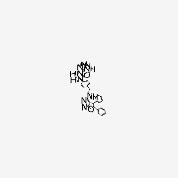 O=C(Nc1ccc(CCNc2ncnc3oc(-c4ccccc4)c(-c4ccccc4)c23)cc1)Nc1nnn[nH]1